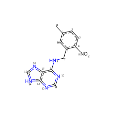 Cc1ccc([N+](=O)[O-])c(CNc2ncnc3[nH]cnc23)c1